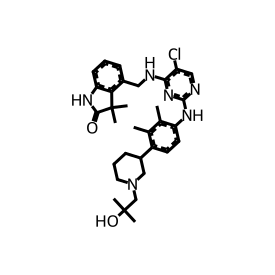 Cc1c(Nc2ncc(Cl)c(NCc3cccc4c3C(C)(C)C(=O)N4)n2)ccc(C2CCCN(CC(C)(C)O)C2)c1C